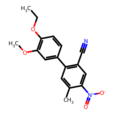 CCOc1ccc(-c2cc(C)c([N+](=O)[O-])cc2C#N)cc1OC